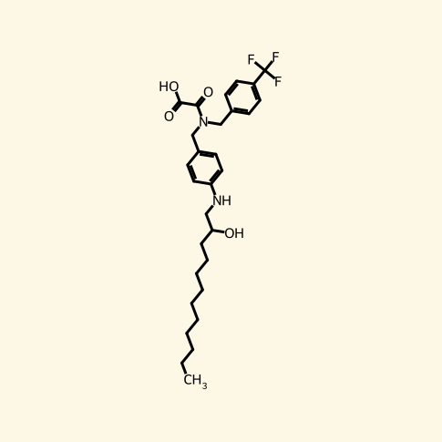 CCCCCCCCCCC(O)CNc1ccc(CN(Cc2ccc(C(F)(F)F)cc2)C(=O)C(=O)O)cc1